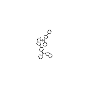 CC1C=Cc2ccc(-c3ccc(N(c4ccccc4)c4ccc5ccccc5c4)cc3)cc2C1N(c1ccccc1)c1ccc(-c2ccccc2)cc1